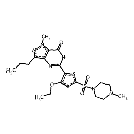 CCCc1nn(C)c2c1N=C(c1sc(S(=O)(=O)N3CCN(C)CC3)cc1OCC)[N]C2=O